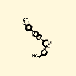 N#CCC1CCN(C(=O)CC(CO)N2CC3=C(CN(c4ccc(OC(F)(F)F)cc4)C3)C2)C1